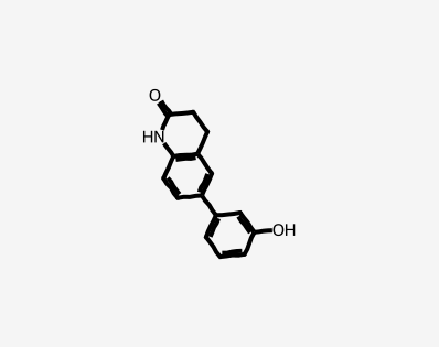 O=C1CCc2cc(-c3cccc(O)c3)ccc2N1